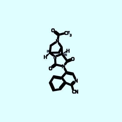 N#Cc1ncc(N2C(=O)[C@@H]3C4C[C@H](CN4C(=O)C(F)(F)F)N3C2=O)c2ccccc12